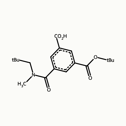 CN(CC(C)(C)C)C(=O)c1cc(C(=O)O)cc(C(=O)OC(C)(C)C)c1